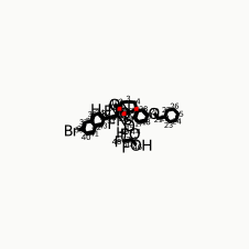 NC1CC2CCC(C1)N2C(=O)[C@@H](NS(=O)(=O)c1ccc(OCC2CCCCC2)cc1)C(F)(F)c1ccc2cc(Br)ccc2c1.O=C(O)C(F)(F)F